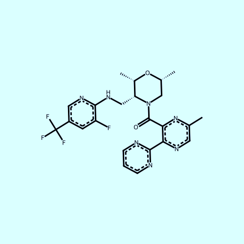 Cc1cnc(-c2ncccn2)c(C(=O)N2C[C@@H](C)O[C@@H](C)[C@H]2CNc2ncc(C(F)(F)F)cc2F)n1